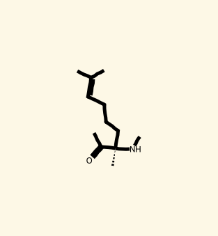 CN[C@](C)(CCCC=C(C)C)C(C)=O